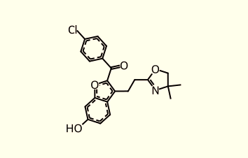 CC1(C)COC(CCc2c(C(=O)c3ccc(Cl)cc3)oc3cc(O)ccc23)=N1